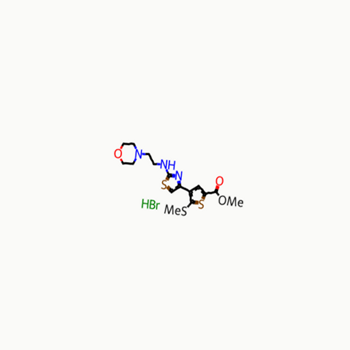 Br.COC(=O)c1cc(-c2csc(NCCN3CCOCC3)n2)c(SC)s1